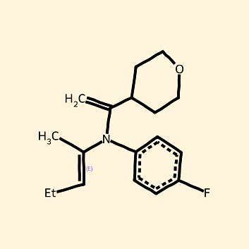 C=C(C1CCOCC1)N(/C(C)=C/CC)c1ccc(F)cc1